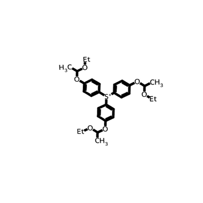 CCOC(C)Oc1ccc([S+](c2ccc(OC(C)OCC)cc2)c2ccc(OC(C)OCC)cc2)cc1